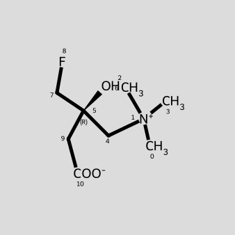 C[N+](C)(C)C[C@@](O)(CF)CC(=O)[O-]